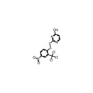 O=[N+]([O-])c1ccc(SSc2nccc(O)n2)c(C(Cl)(Cl)Cl)c1